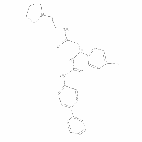 Cc1ccc([C@@H](CC(=O)NCCN2CCCC2)NC(=O)Nc2ccc(-c3ccccc3)cc2)cc1